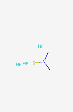 CN(C)[S].F.F.F